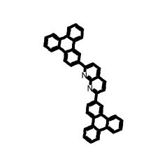 c1ccc2c(c1)c1ccccc1c1cc(-c3ccc4ccc(-c5ccc6c7ccccc7c7ccccc7c6c5)nc4n3)ccc21